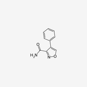 NC(=O)c1nocc1-c1ccccc1